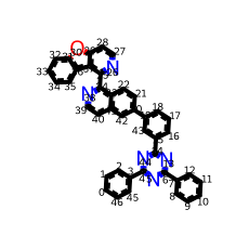 c1ccc(-c2nc(-c3ccccc3)nc(-c3cccc(-c4ccc5c(-c6nccc7oc8ccccc8c67)nccc5c4)c3)n2)cc1